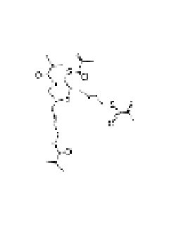 C=C(C)C(=O)SCCSCC(CSC(=O)C(=C)C)SC(CSCCSC(=O)C(=C)C)CSC(=O)C(=C)C